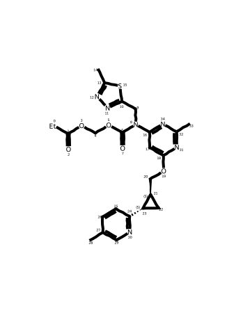 CCC(=O)OCOC(=O)N(Cc1nnc(C)s1)c1cc(OC[C@H]2C[C@@H]2c2ccc(C)cn2)nc(C)n1